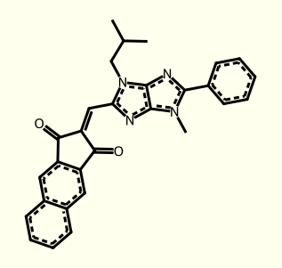 CC(C)Cn1c(C=C2C(=O)c3cc4ccccc4cc3C2=O)nc2c1nc(-c1ccccc1)n2C